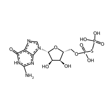 Nc1nc2c(ncn2[C@@H]2O[C@H](COP(=O)(O)SP(=O)(O)O)[C@@H](O)[C@H]2O)c(=O)[nH]1